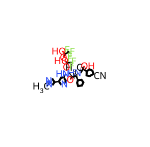 Cn1cc(-c2cnc3c(c2)NC[C@@H]([C@H](NC[C@@](C)(O)c2ccc(C#N)cc2)c2ccccc2)O3)cn1.O=C(O)C(F)(F)F.O=C(O)C(F)(F)F